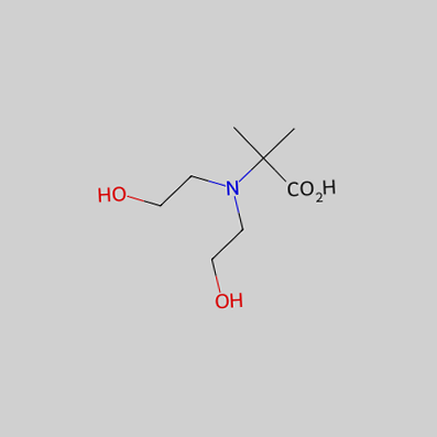 CC(C)(C(=O)O)N(CCO)CCO